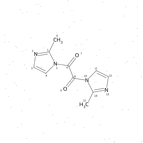 Cc1nccn1C(=O)C(=O)n1ccnc1C